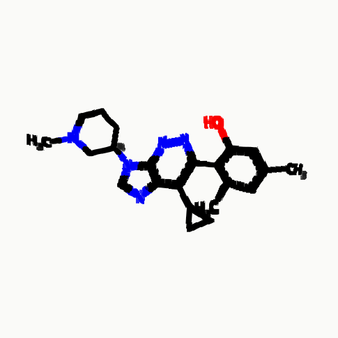 Cc1cc(C)c(-c2nnc3c(ncn3[C@@H]3CCCN(C)C3)c2C2CC2)c(O)c1